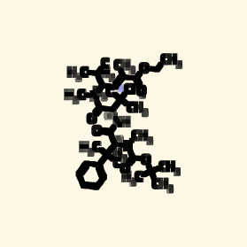 CCOC(=O)/C(C)=C/C(C(C)C)N(C)C(=O)[C@@H](NC(=O)[C@@H](N(C)C(=O)OC(C)(C)C)C(C)(C)c1ccccc1)C(C)(C)C